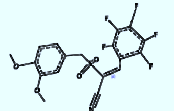 COc1ccc(CS(=O)(=O)/C(C#N)=C\c2c(F)c(F)c(F)c(F)c2F)cc1OC